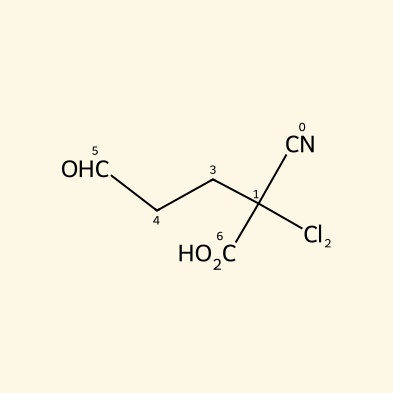 N#CC(Cl)(CCC=O)C(=O)O